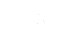 Cn1cc(-c2ccc(N)cc2C#N)cn1